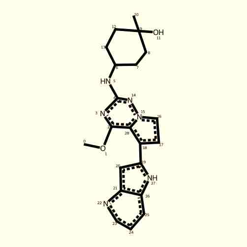 COc1nc(NC2CCC(C)(O)CC2)nn2ccc(-c3cc4ncccc4[nH]3)c12